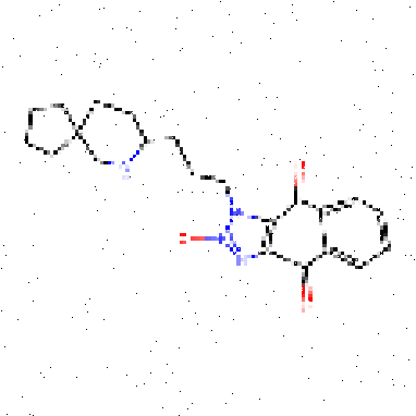 O=C1c2ccccc2C(=O)c2c1n[n+]([O-])n2CCCC1CCC2(CCCC2)CN1